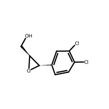 OC[C@@H]1O[C@H]1c1ccc(Cl)c(Cl)c1